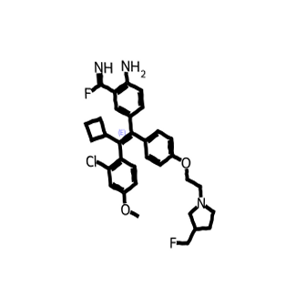 COc1ccc(/C(=C(\c2ccc(OCCN3CCC(CF)C3)cc2)c2ccc(N)c(C(=N)F)c2)C2CCC2)c(Cl)c1